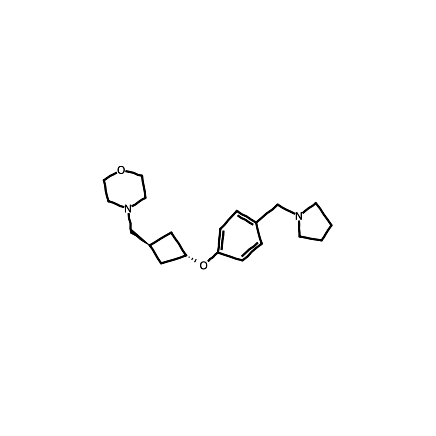 c1cc(O[C@H]2C[C@H](CN3CCOCC3)C2)ccc1CN1CCCC1